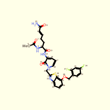 COC(=O)NC(CC/C=C/C(N)=O)C(=O)Nc1cccn(Cc2nc3cccc(OCc4ccc(F)cc4F)c3s2)c1=O